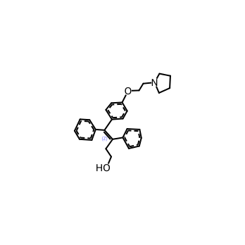 OCC/C(=C(\c1ccccc1)c1ccc(OCCN2CCCC2)cc1)c1ccccc1